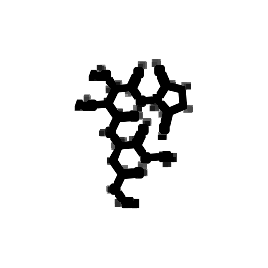 CC(=O)OC(C(=O)O[C@H](CC(=O)OC(C)(C)C)C(=O)OC(C)(C)C)[C@@H](OC(C)=O)C(=O)ON1C(=O)CCC1=O